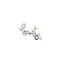 CC1(C)N=C(C23CC(N(Cc4ccc(Cl)c(Cl)c4)S(=O)(=O)CCC(F)F)(C2)C3)N[C@H]1C(=O)N1CCC(F)(F)CC1